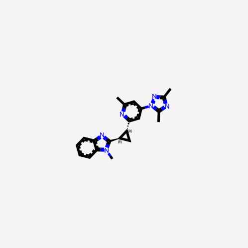 Cc1cc(-n2nc(C)nc2C)cc([C@@H]2C[C@H]2c2nc3ccccc3n2C)n1